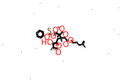 C=C(C)CCCOC(=O)C1OC2OCO[C@H](OC(=S)Oc3ccccc3)C2(C)C1(C)CC1OC(=O)[C@@H](C)[C@H]1O